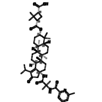 Cc1cccc(C(=O)NC(C)(C)C(=O)N[C@@]23CC[C@]4(C)[C@H](CC[C@@H]5[C@@]6(C)CC[C@H](OC(=O)[C@H]7C[C@@H](C(=O)O)C7(C)C)C(C)(C)[C@@H]6CC[C@]54C)C2=C(C(C)C)C(=O)C3)n1